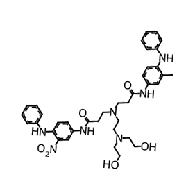 Cc1cc(NC(=O)CCN(CCC(=O)Nc2ccc(Nc3ccccc3)c([N+](=O)[O-])c2)CCN(CCO)CCO)ccc1Nc1ccccc1